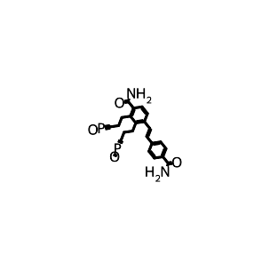 NC(=O)c1ccc(C=Cc2ccc(C(N)=O)c(CCC#P=O)c2CCC#P=O)cc1